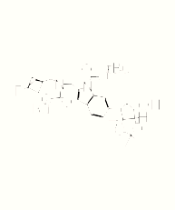 CC(C)(C)OC(=O)N(Cc1cc2ccc([C@H]3C[C@H](O)[C@@H]4OC(C)(C)O[C@@H]43)cc2n1C(=O)OC(C)(C)C)CC12CC(F)(C1)C2